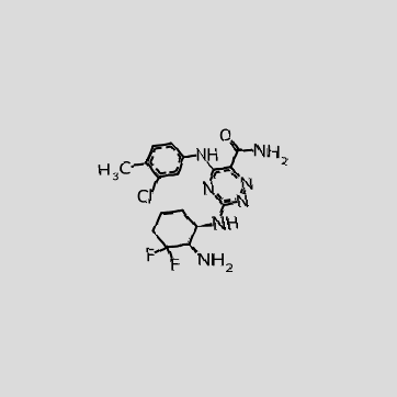 Cc1ccc(Nc2nc(N[C@@H]3CCCC(F)(F)[C@@H]3N)nnc2C(N)=O)cc1Cl